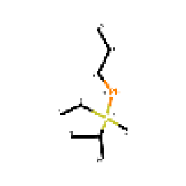 CCCPS(C)(CC)C(C)C